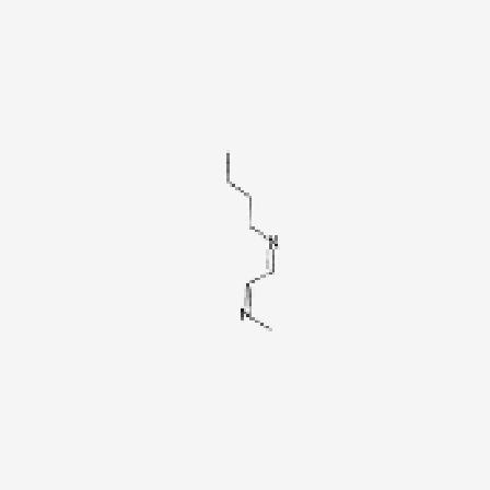 CCCC/N=C\C=N/C